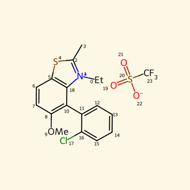 CC[n+]1c(C)sc2ccc(OC)c(-c3ccccc3Cl)c21.O=S(=O)([O-])C(F)(F)F